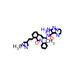 CC(NC(=O)c1c(N)nn2c1N=CCC2)c1cc2cccc(/C=C/c3cnn(C)c3)c2c(=O)n1-c1ccccc1